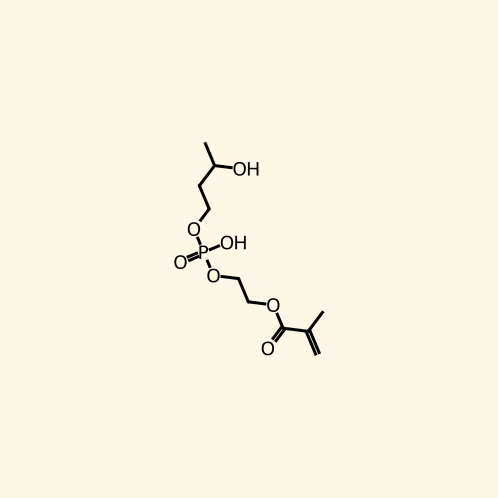 C=C(C)C(=O)OCCOP(=O)(O)OCCC(C)O